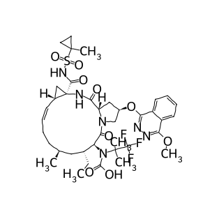 CC[C@@H]1C[C@@H](C)CCC=C[C@@H]2C[C@@]2(C(=O)NS(=O)(=O)C2(C)CC2)NC(=O)[C@@H]2C[C@@H](Oc3nnc(OC)c4ccccc34)CN2C(=O)[C@H]1N(C(=O)O)C(C)(C)C(F)(F)F